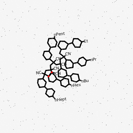 CCCCCCCC1CCC(C2CCCC(C(C#N)(CCC#N)CC(C#N)(CC(C#N)(CC(C#N)(CC(C#N)(CC3CCCC(C4CCC(CC)CC4)C3)C3CCCC(C4CCC(CCC)CC4)C3)C3CCCC(C4CCC(CCCC)CC4)C3)C3CCCC(C4CCC(CCCCC)CC4)C3)C3CCCC(C4CCC(CCCCCC)CC4)C3)C2)CC1